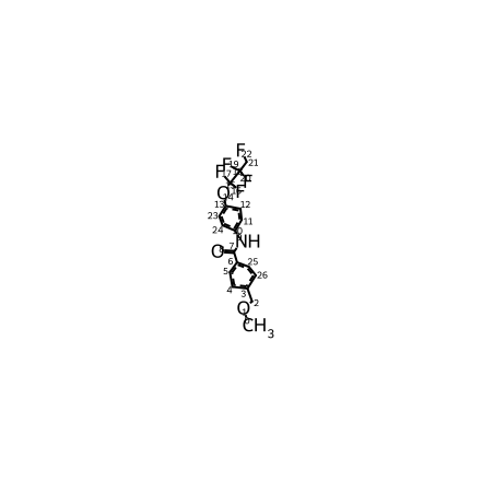 COCc1ccc(C(=O)Nc2ccc(OC(F)(F)C(F)(F)CF)cc2)cc1